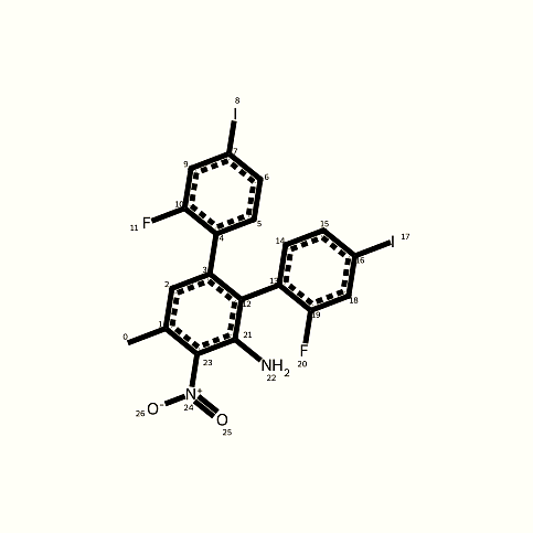 Cc1cc(-c2ccc(I)cc2F)c(-c2ccc(I)cc2F)c(N)c1[N+](=O)[O-]